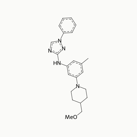 COCC1CCN(c2cc(C)cc(Nc3ncn(-c4ccccc4)n3)c2)CC1